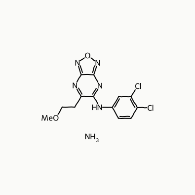 COCCc1nc2nonc2nc1Nc1ccc(Cl)c(Cl)c1.N